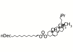 CCCCCCCCCCCCCCCCCCCCC=COC(=O)OC1CC[C@@]2(C)C(=CCC3C2CC[C@@]2(C)C3CC[C@@H]2[C@H](C)CCCC(C)C)C1